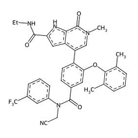 CCNC(=O)c1cc2c(-c3ccc(C(=O)N(CC#N)c4cccc(C(F)(F)F)c4)cc3Oc3c(C)cccc3C)cn(C)c(=O)c2[nH]1